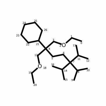 CCOCC(CCC(C(C)C)(C(C)C)C(C)C)(COCC)C1CCCCC1